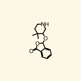 CC1(C)CCNCC1OC1OC(=O)c2ccccc21